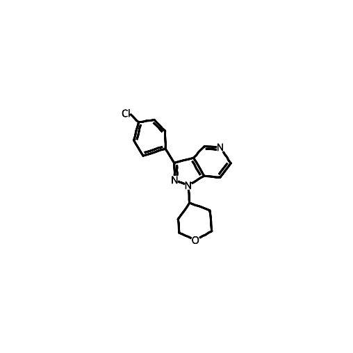 Clc1ccc(-c2nn(C3CCOCC3)c3ccncc23)cc1